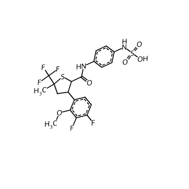 COc1c(C2CC(C)(C(F)(F)F)SC2C(=O)Nc2ccc(NS(=O)(=O)O)cc2)ccc(F)c1F